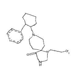 O=C1NCN(CCC(F)(F)F)C12CCN(C1CCCCC1c1ccccc1)CC2